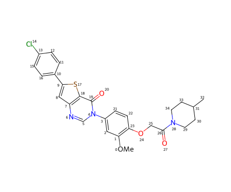 COc1cc(-n2cnc3cc(-c4ccc(Cl)cc4)sc3c2=O)ccc1OCC(=O)N1CCC(C)CC1